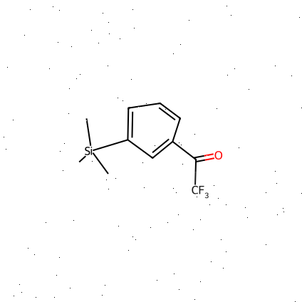 C[Si](C)(C)c1cccc(C(=O)C(F)(F)F)c1